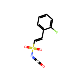 O=C=NS(=O)(=O)C=Cc1ccccc1F